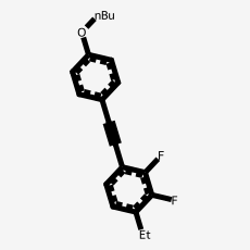 CCCCOc1ccc(C#Cc2ccc(CC)c(F)c2F)cc1